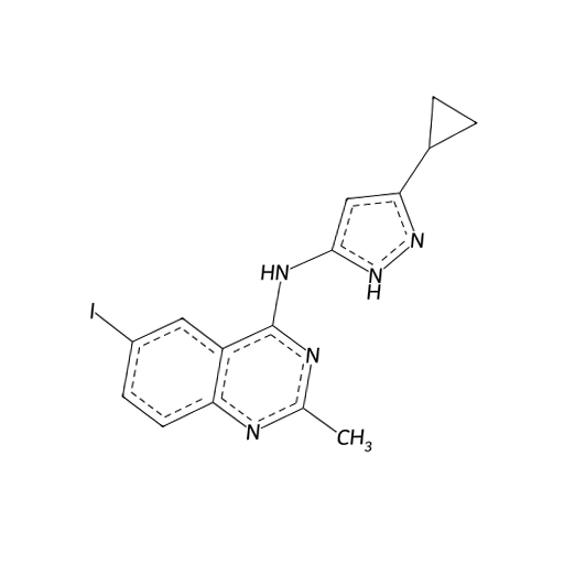 Cc1nc(Nc2cc(C3CC3)n[nH]2)c2cc(I)ccc2n1